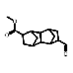 COC(=O)C1CC2CC1C1C3CC(C=O)C(C3)C21